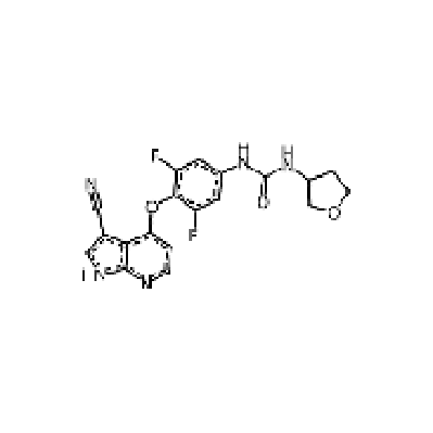 N#Cc1c[nH]c2nccc(Oc3c(F)cc(NC(=O)NC4CCOC4)cc3F)c12